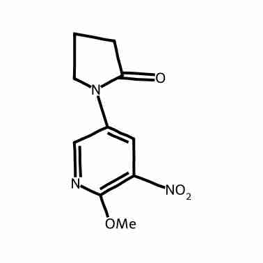 COc1ncc(N2CCCC2=O)cc1[N+](=O)[O-]